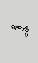 CN1CCN(c2ccc3ncc(C(=O)NC4CCC(C(=O)Nc5ccc(F)cc5Cl)CC4)n3n2)CC1